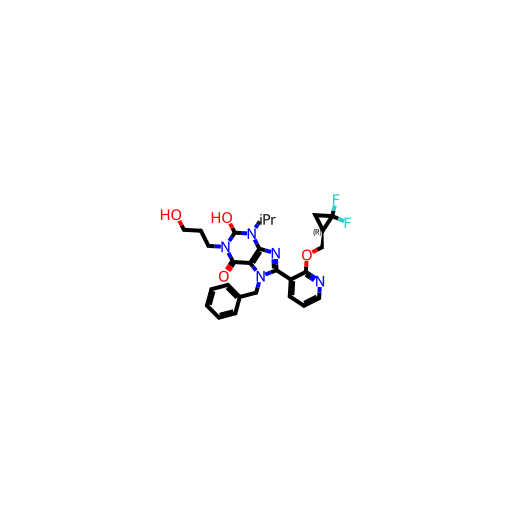 CC(C)N1c2nc(-c3cccnc3OC[C@H]3CC3(F)F)n(Cc3ccccc3)c2C(=O)N(CCCO)C1O